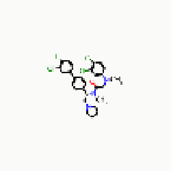 CN(CC(=O)N(C)C(CN1CCCC1)c1ccc(-c2ccc(F)c(Cl)c2)cc1)c1ccc(Cl)c(Cl)c1